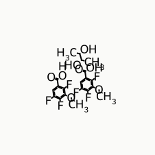 CC(O)C(C)O.COc1c(F)c(F)cc(C(=O)O)c1F.COc1c(F)c(F)cc(C(=O)O)c1F